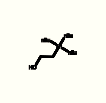 CCC[CH2][Sn]([CH2]CO)([CH2]CCC)[CH2]CCC